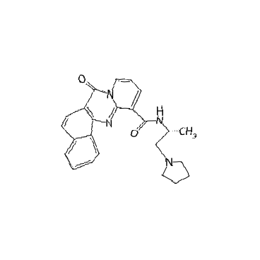 C[C@H](CN1CCCC1)NC(=O)c1cccn2c(=O)c3ccc4ccccc4c3nc12